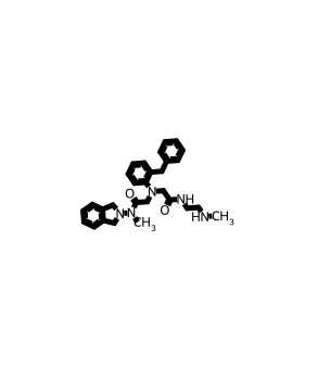 CNCCNC(=O)CN(CC(=O)N(C)N1Cc2ccccc2C1)c1ccccc1Cc1ccccc1